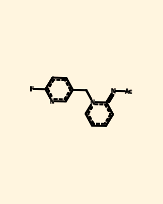 CC(=O)N=c1ccccn1Cc1ccc(F)nc1